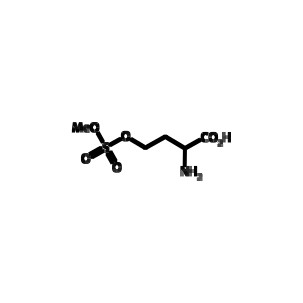 COS(=O)(=O)OCCC(N)C(=O)O